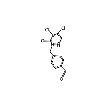 O=Cc1ccc(Cn2ncc(Cl)c(Cl)c2=O)cc1